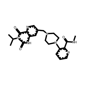 CNC(=O)c1ncccc1N1CCN(Cc2cnc3c(=O)n(C(C)C)c(=O)[nH]c3c2)CC1